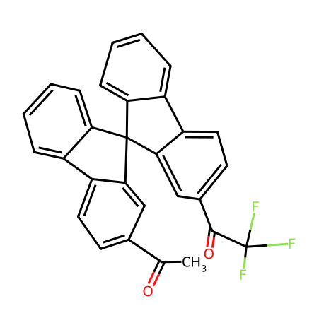 CC(=O)c1ccc2c(c1)C1(c3ccccc3-2)c2ccccc2-c2ccc(C(=O)C(F)(F)F)cc21